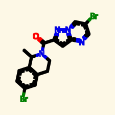 CC1c2ccc(Br)cc2CCN1C(=O)c1cc2ncc(Br)cn2n1